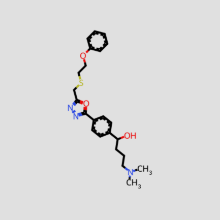 CN(C)CCCC(O)c1ccc(-c2nnc(CSCCOc3ccccc3)o2)cc1